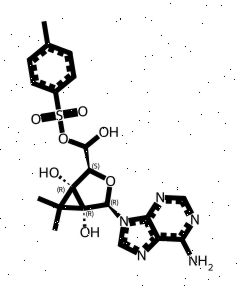 Cc1ccc(S(=O)(=O)OC(O)[C@H]2O[C@@H](n3cnc4c(N)ncnc43)[C@@]3(O)C(C)(C)[C@@]23O)cc1